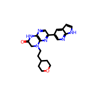 O=C1CN(CCC2CCOCC2)c2nc(-c3cnc4[nH]ccc4c3)cnc2N1